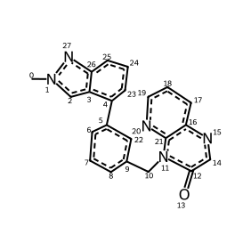 Cn1cc2c(-c3cccc(Cn4c(=O)cnc5cccnc54)c3)cccc2n1